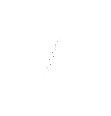 CCCCCCCCC1OC1CCCCCCCCOC